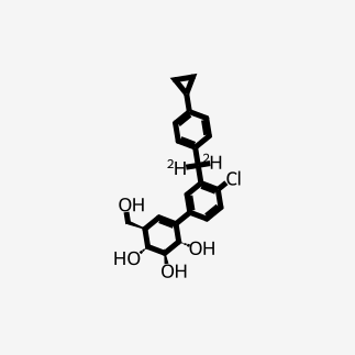 [2H]C([2H])(c1ccc(C2CC2)cc1)c1cc(C2=C[C@H](CO)[C@@H](O)[C@H](O)[C@H]2O)ccc1Cl